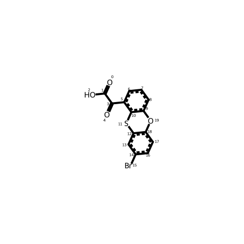 O=C(O)C(=O)c1cccc2c1Sc1cc(Br)ccc1O2